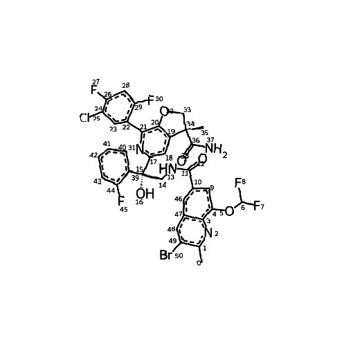 Cc1nc2c(OC(F)F)cc(C(=O)NC[C@](O)(c3cc4c(c(-c5cc(Cl)c(F)cc5F)n3)OC[C@]4(C)C(N)=O)c3ccccc3F)cc2cc1Br